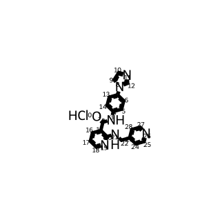 Cl.O=C(Nc1ccc(-n2ccnc2)cc1)c1cccnc1NCc1ccncc1